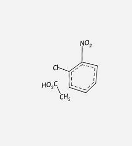 CC(=O)O.O=[N+]([O-])c1ccccc1Cl